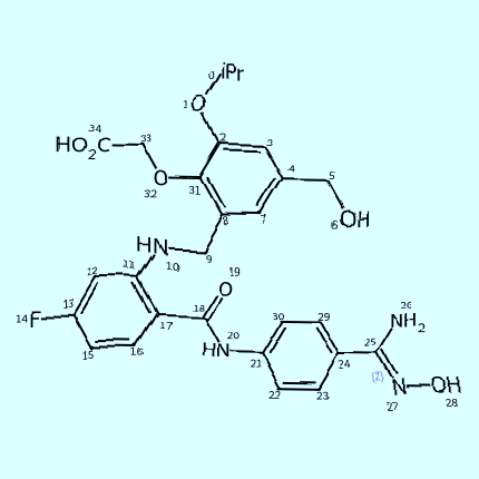 CC(C)Oc1cc(CO)cc(CNc2cc(F)ccc2C(=O)Nc2ccc(/C(N)=N/O)cc2)c1OCC(=O)O